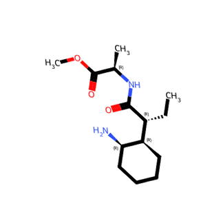 CC[C@@H](C(=O)N[C@H](C)C(=O)OC)[C@H]1CCCC[C@H]1N